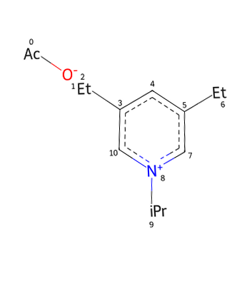 CC(=O)[O-].CCc1cc(CC)c[n+](C(C)C)c1